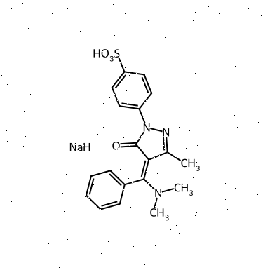 CC1=NN(c2ccc(S(=O)(=O)O)cc2)C(=O)C1=C(c1ccccc1)N(C)C.[NaH]